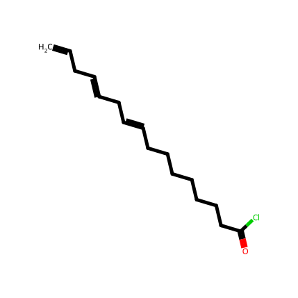 C=CCC=CCC=CCCCCCCCC(=O)Cl